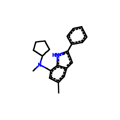 Cc1cc(N(C)C2CCCC2)c2[nH]c(-c3ccccc3)cc2c1